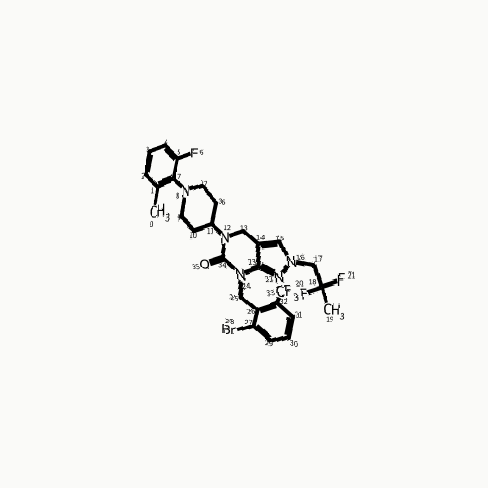 Cc1cccc(F)c1N1CCC(N2Cc3cn(CC(C)(F)F)nc3N(Cc3c(Br)cccc3C(F)(F)F)C2=O)CC1